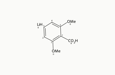 COc1cccc(OC)c1C(=O)O.[LiH]